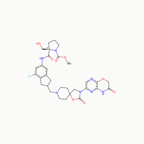 CC(C)(C)OC(=O)N1CCC[C@@]1(CO)C(=O)Nc1cc(F)c2c(c1)CC(CN1CCC3(CC1)CN(c1cnc4c(n1)NC(=O)CO4)C(=O)O3)C2